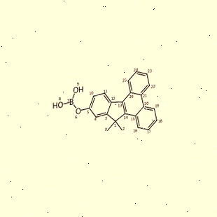 CC1(C)c2cc(OB(O)O)ccc2-c2c1c1ccccc1c1ccccc21